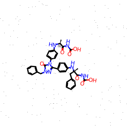 C[C@H](Nc1ccc(-n2c(-c3ccc(N[C@@](C)(Cc4ccccc4)C(=O)NC(=O)O)cc3)nn(Cc3ccccc3)c2=O)cc1)C(=O)NC(=O)O